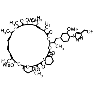 CO[C@H]1C[C@@H]2CC[C@@H](C)[C@@](O)(O2)C(=O)C(=O)N2CCCC[C@H]2C(=O)O[C@H]([C@H](C)C[C@@H]2CC[C@H](n3cc(CO)nn3)[C@H](OC)C2)CC(=O)[C@H](C)/C=C(\C)[C@@H](O)[C@@H](OC)C(=O)[C@H](C)C[C@H](C)/C=C/C=C/C=C/1C